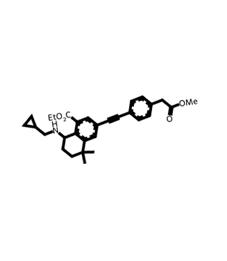 CCOC(=O)c1cc(C#Cc2ccc(CC(=O)OC)cc2)cc2c1C(NCC1CC1)CCC2(C)C